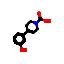 O=C(O)N1CC=C(c2cccc(O)c2)CC1